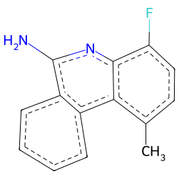 Cc1ccc(F)c2nc(N)c3ccccc3c12